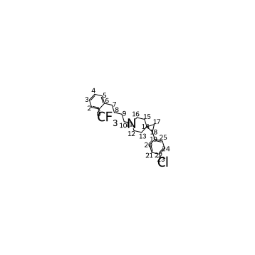 FC(F)(F)c1ccccc1CCCCN1CCC2(CC1)CC2c1ccc(Cl)cc1